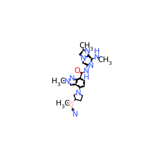 CNc1nc(NC(=O)c2ccc(N3CCC(B(C)C#N)C3)c3cn(C)nc23)cn2cc(C)nc12